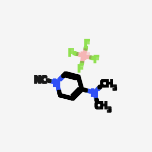 CN(C)C1=CCN(C#N)C=C1.F[B-](F)(F)F